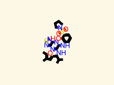 Cc1cc([C@H](Nc2nc3nsnc3nc2Nc2cccc(S(=O)(=O)N3CCCC3)c2O)C(C)C)oc1C